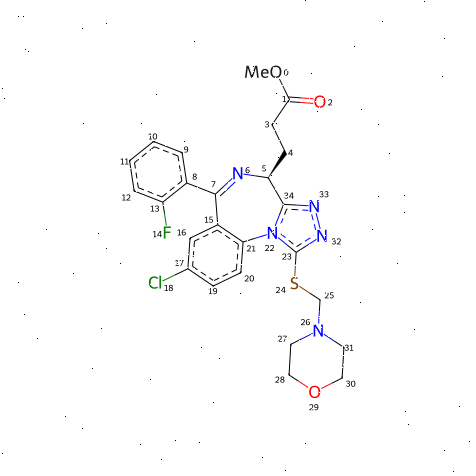 COC(=O)CC[C@@H]1N=C(c2ccccc2F)c2cc(Cl)ccc2-n2c(SCN3CCOCC3)nnc21